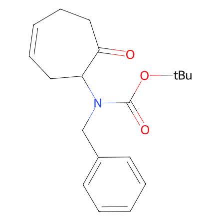 CC(C)(C)OC(=O)N(Cc1ccccc1)C1CC=CCCC1=O